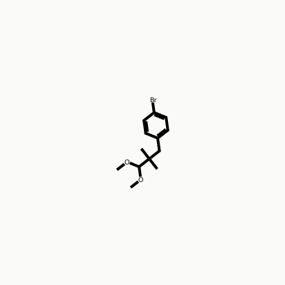 COC(OC)C(C)(C)Cc1ccc(Br)cc1